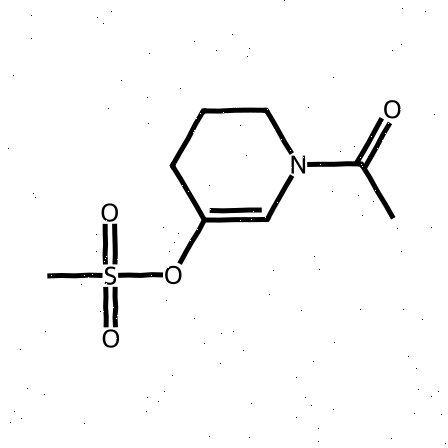 CC(=O)N1C=C(OS(C)(=O)=O)CCC1